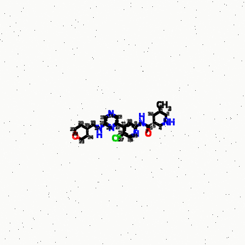 C[C@H]1CNC[C@H](C(=O)Nc2cc(-c3cncc(NCC4CCOCC4)n3)c(Cl)cn2)C1